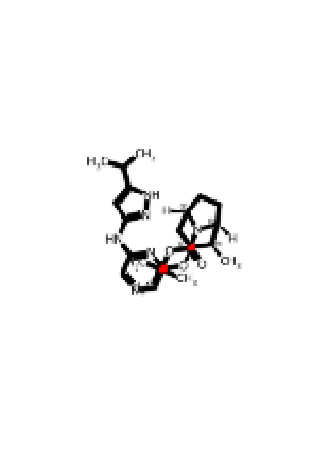 CC(C)c1cc(Nc2cncc(O[C@H]3C[C@@H]4CC[C@H]([C@H]3C)N4C(=O)OC(C)(C)C)n2)n[nH]1